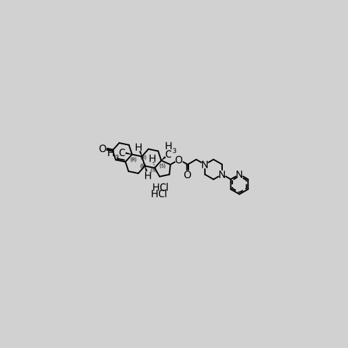 C[C@]12CCC(=O)C=C1CC[C@@H]1[C@H]2CC[C@]2(C)C(OC(=O)CN3CCN(c4ccccn4)CC3)CC[C@@H]12.Cl.Cl